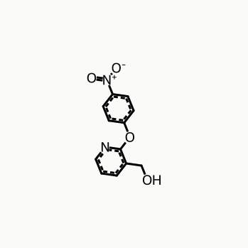 O=[N+]([O-])c1ccc(Oc2ncccc2CO)cc1